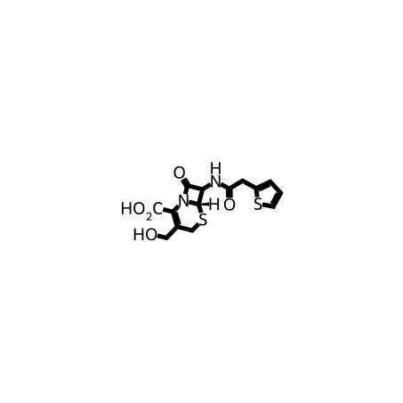 O=C(Cc1cccs1)NC1C(=O)N2C(C(=O)O)=C(CO)CS[C@@H]12